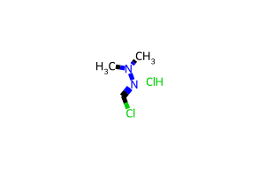 CN(C)N=CCl.Cl